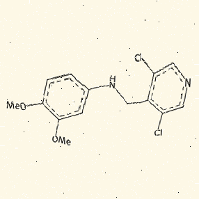 COc1ccc(NCc2c(Cl)cncc2Cl)cc1OC